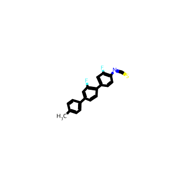 Cc1ccc(-c2ccc(-c3ccc(N=C=S)c(F)c3)c(F)c2)cc1